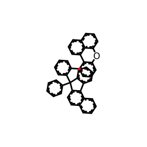 c1ccc(C2(c3ccccc3-c3cccc4c3-c3cccc5cccc(c35)O4)c3ccccc3-c3c2ccc2ccccc32)cc1